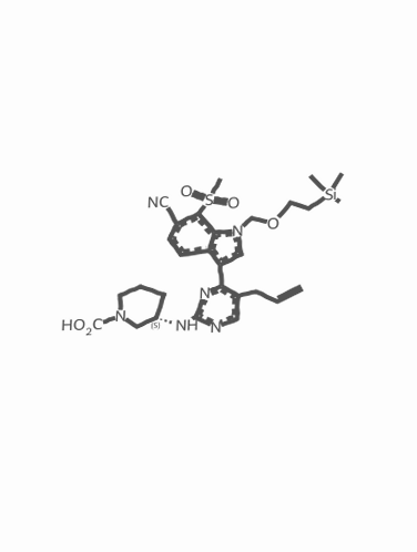 C=CCc1cnc(N[C@H]2CCCN(C(=O)O)C2)nc1-c1cn(COCC[Si](C)(C)C)c2c(S(C)(=O)=O)c(C#N)ccc12